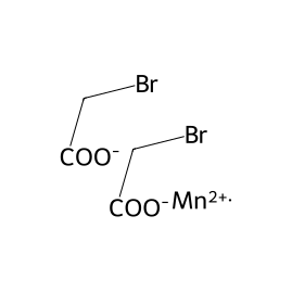 O=C([O-])CBr.O=C([O-])CBr.[Mn+2]